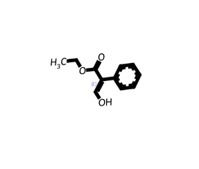 CCOC(=O)/C(=C/O)c1ccccc1